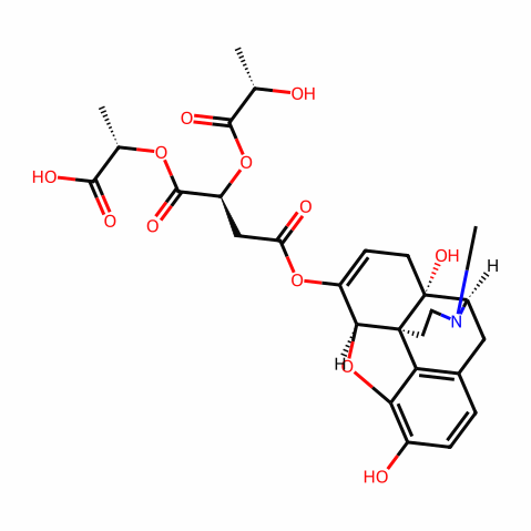 C[C@H](O)C(=O)O[C@@H](CC(=O)OC1=CC[C@@]2(O)[C@H]3Cc4ccc(O)c5c4[C@@]2(CCN3C)[C@H]1O5)C(=O)O[C@@H](C)C(=O)O